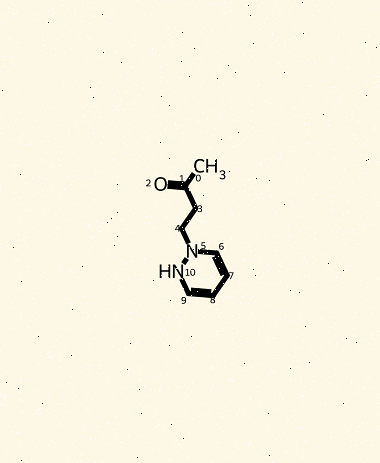 CC(=O)CCN1C=CC=CN1